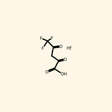 O=C(O)C(=O)CC(=O)C(F)(F)F.[Hf]